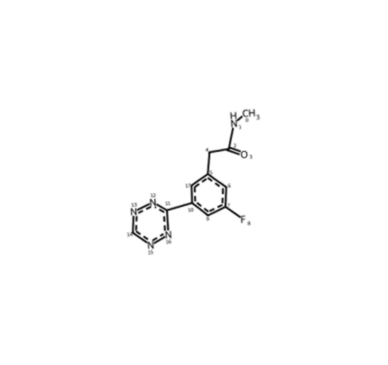 CNC(=O)Cc1cc(F)cc(-c2nncnn2)c1